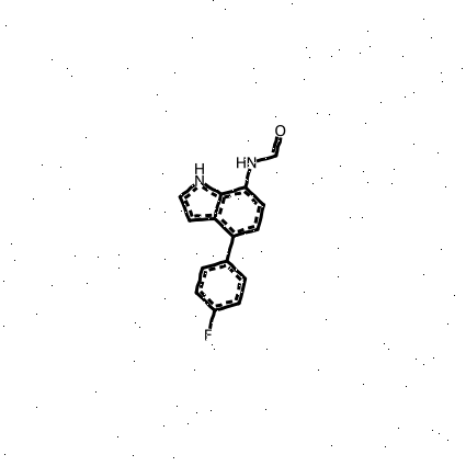 O=CNc1ccc(-c2ccc(F)cc2)c2cc[nH]c12